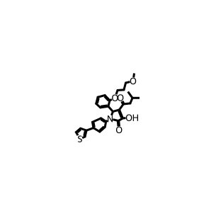 COCCCOc1ccccc1C1C(C(=O)CC(C)C)=C(O)C(=O)N1c1ccc(-c2ccsc2)cc1